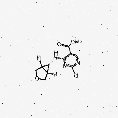 COC(=O)c1cnc(Cl)nc1N[C@@H]1[C@@H]2COC[C@@H]21